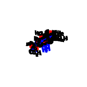 CCC[C@H](NC(=O)[C@@H]1C[C@@H](NC(=O)Nc2ccc(OC)cc2)CN1C(=O)[C@@H](NC(=O)[C@@H](NC(=O)[C@H](CCC(=O)O)NC(=O)[C@H](CCC(=O)O)NC(C)=O)C(C)C)C(C)C)C(=O)C(=O)NCC(=O)O